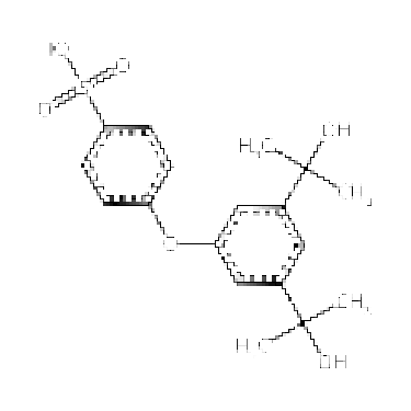 CC(C)(O)c1cc(Oc2ccc(S(=O)(=O)O)cc2)cc(C(C)(C)O)c1